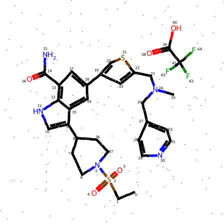 CCS(=O)(=O)N1CCC(c2c[nH]c3c(C(N)=O)cc(-c4csc(CN(C)Cc5ccncc5)c4)cc23)CC1.O=C(O)C(F)(F)F